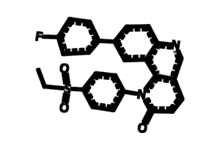 CCS(=O)(=O)c1ccc(-n2c(=O)ccc3cnc4ccc(-c5ccc(F)cc5)cc4c32)cc1